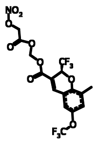 Cc1cc(OC(F)(F)F)cc2c1O[C@H](C(F)(F)F)C(C(=O)OCOC(=O)CO[N+](=O)[O-])=C2